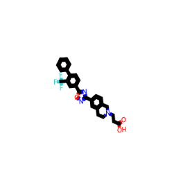 O=C(O)CCN1CCc2cc(-c3noc(-c4ccc(-c5ccccc5)c(C(F)(F)F)c4)n3)ccc2C1